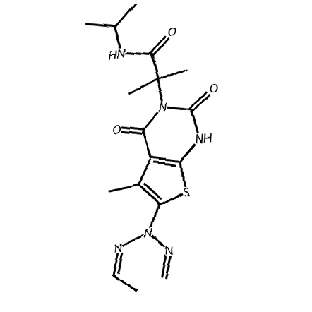 C=NN(/N=C\C)c1sc2[nH]c(=O)n(C(C)(C)C(=O)NC(C)C)c(=O)c2c1C